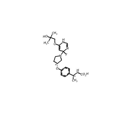 C[C@H](NC(=O)O)c1ccc(O[C@@H]2CCN(C3(F)C=C(OCC(C)(C)O)NC=N3)C2)cc1